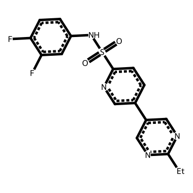 CCc1ncc(-c2ccc(S(=O)(=O)Nc3ccc(F)c(F)c3)nc2)cn1